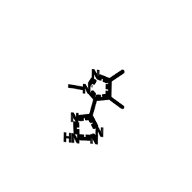 Cc1nn(C)c(-c2nn[nH]n2)c1C